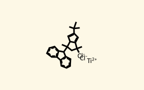 CC(C)(C)C1=CC2C(=C1)C(C)(C)CC2(C)C1c2ccccc2-c2ccccc21.[Cl-].[Cl-].[Ti+2]